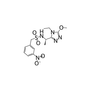 CCn1c(OC)nnc1[C@@H](C)NS(=O)(=O)Cc1cccc([N+](=O)[O-])c1